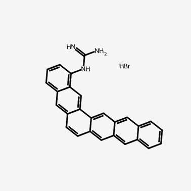 Br.N=C(N)Nc1cccc2cc3ccc4cc5cc6ccccc6cc5cc4c3cc12